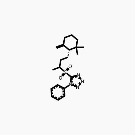 C=C1CCCC(C)(C)[C@@H]1CCC(C)S(=O)(=O)c1nnnn1-c1ccccc1